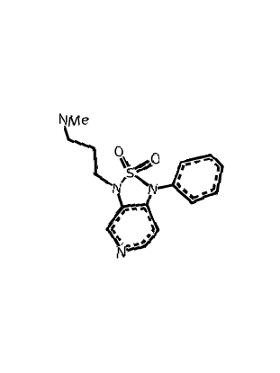 CNCCCN1c2cnccc2N(c2ccccc2)S1(=O)=O